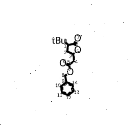 CC(C)(C)C1CC(CC(=O)OCc2ccccc2)OC1=O